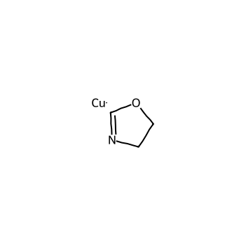 C1=NCCO1.[Cu]